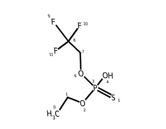 CCOP(O)(=S)OCC(F)(F)F